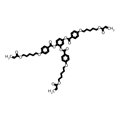 C=CC(=O)OCCCCCOc1ccc(C(=O)Oc2ccc(OC(=O)c3ccc(OCCCCCOC(=O)C=C)cc3)c(OC(=O)c3ccc(OCCCCCOC(=O)C=C)cc3)c2)cc1